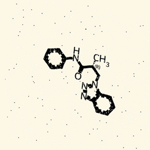 C[C@H](Cn1nnc2ccccc21)C(=O)Nc1ccccc1